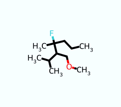 CCCC(C)(F)C(COC)C(C)C